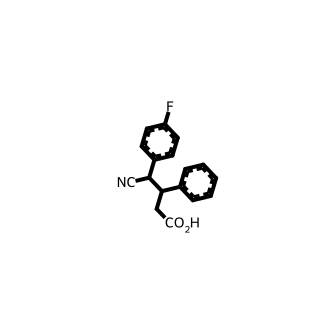 N#CC(c1ccc(F)cc1)C(CC(=O)O)c1ccccc1